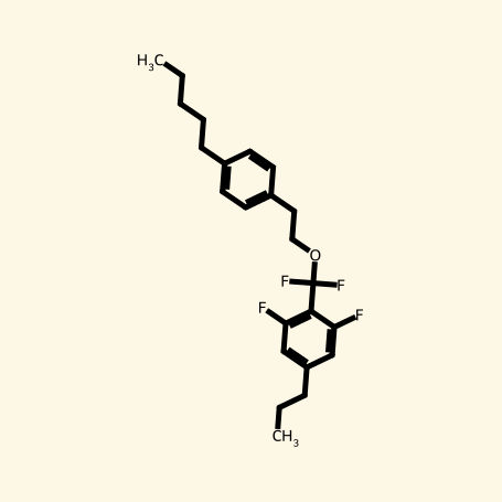 CCCCCc1ccc(CCOC(F)(F)c2c(F)cc(CCC)cc2F)cc1